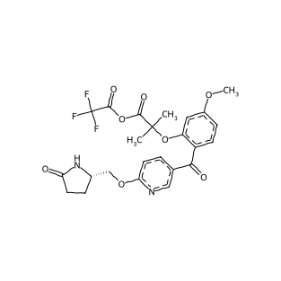 COc1ccc(C(=O)c2ccc(OC[C@@H]3CCC(=O)N3)nc2)c(OC(C)(C)C(=O)OC(=O)C(F)(F)F)c1